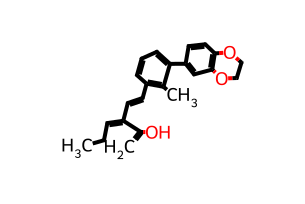 C=C(O)C(=C\CC)/C=C/c1cccc(-c2ccc3c(c2)OCCO3)c1C